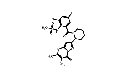 Cc1[nH]c2cc([C@@H]3CCCCN3C(=O)c3cc(F)cc(Cl)c3NS(C)(=O)=O)nn2c(=O)c1C